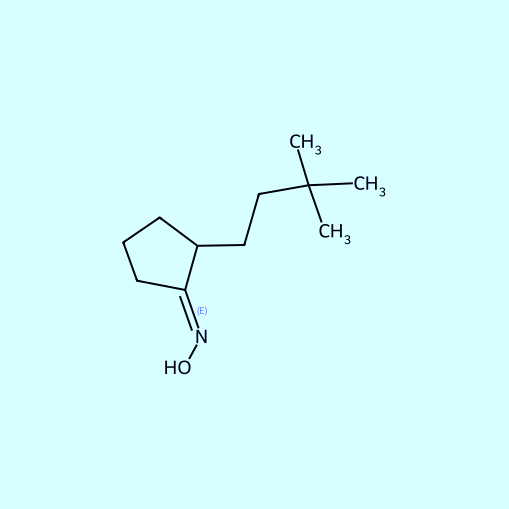 CC(C)(C)CCC1CCC/C1=N\O